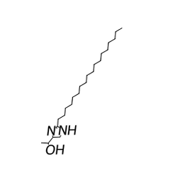 CCCCCCCCCCCCCCCCCCC1=NC(C(C)O)CN1